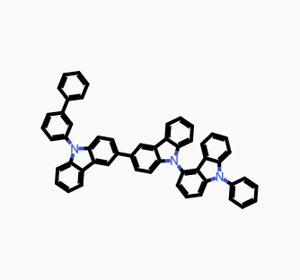 c1ccc(-c2cccc(-n3c4ccccc4c4cc(-c5ccc6c(c5)c5ccccc5n6-c5cccc6c5c5ccccc5n6-c5ccccc5)ccc43)c2)cc1